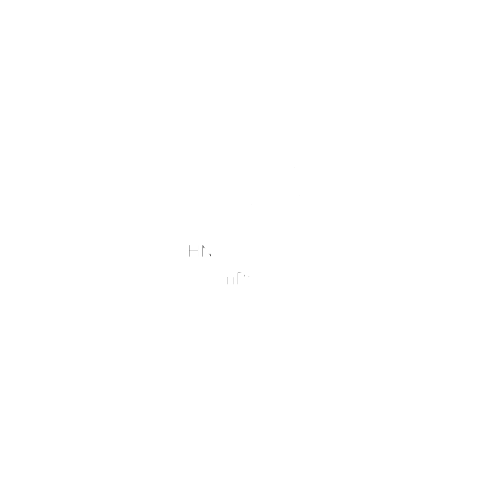 CCCC1(Nc2ccc(C)cc2)C=CC(c2ccccc2)=CC1